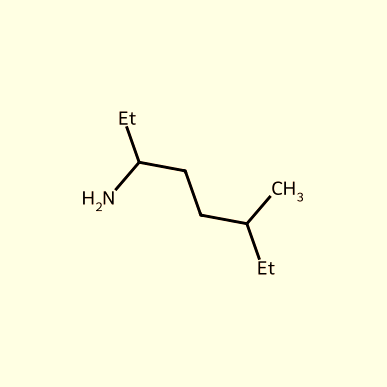 CCC(C)CCC(N)CC